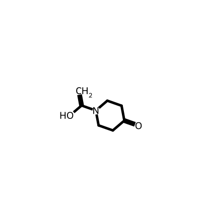 C=C(O)N1CCC(=O)CC1